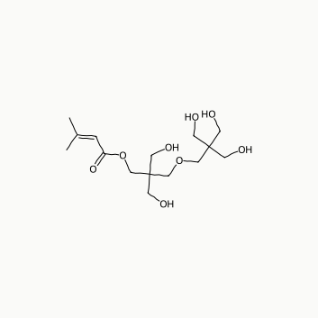 CC(C)=CC(=O)OCC(CO)(CO)COCC(CO)(CO)CO